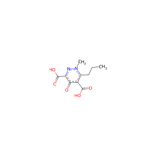 CCCc1c(C(=O)O)c(=O)c(C(=O)O)nn1C